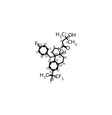 CC(C)(O)CC(=O)N1CC[C@@]2(Cc3ccc(F)cc3)c3ccc(C(C)(F)C(F)(F)F)cc3CC[C@@H]12